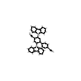 N#Cc1ccc(-c2cc(-n3c4ccccc4c4ccccc43)c(C#N)cc2-n2c3ccccc3c3ccccc32)cc1